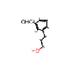 O=Cc1cccc(CCCO)c1